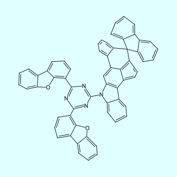 c1ccc2c(c1)-c1ccccc1C21c2ccccc2-c2cc3c(c4cccc1c24)c1ccccc1n3-c1nc(-c2cccc3c2oc2ccccc23)nc(-c2cccc3c2oc2ccccc23)n1